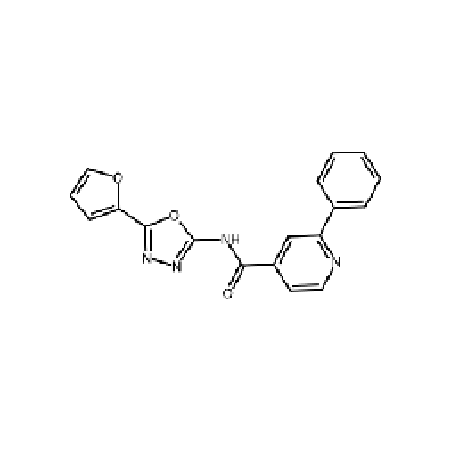 O=C(Nc1nnc(-c2ccco2)o1)c1ccnc(-c2ccccc2)c1